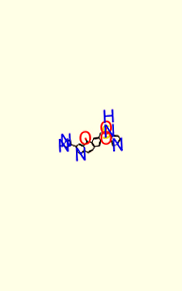 CN1CC(c2cnc3ccc4ccc(CS(=O)(=O)Nc5ccncc5)cc4c(=O)c3c2)C=N1